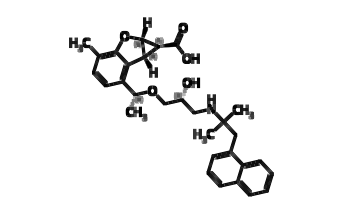 Cc1ccc([C@@H](C)OC[C@H](O)CNC(C)(C)Cc2cccc3ccccc23)c2c1O[C@@H]1[C@@H](C(=O)O)[C@H]21